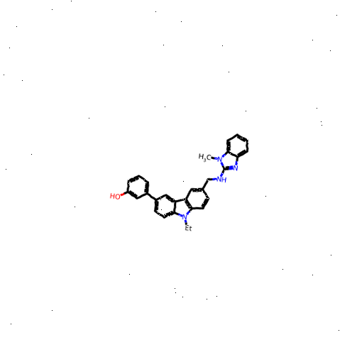 CCn1c2ccc(CNc3nc4ccccc4n3C)cc2c2cc(-c3cccc(O)c3)ccc21